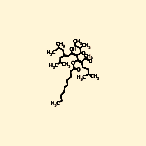 CCCCCCCCCC(=O)OC(/C(C(=O)C(C)CC)=C(/O)C=C(CC(C)C)CC(C)C)=C(\CCC(C)C)C(C)=O